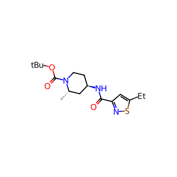 CCc1cc(C(=O)N[C@@H]2CCN(C(=O)OC(C)(C)C)[C@@H](C)C2)ns1